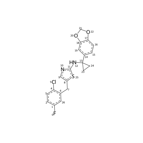 Fc1ccc(Cl)c(Cc2cnc(NC3(c4ccc5c(c4)OCO5)CC3)s2)c1